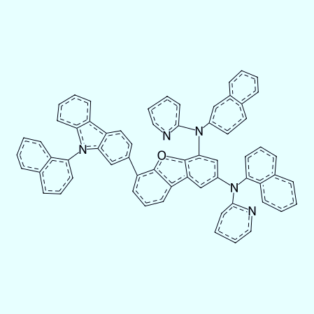 c1ccc(N(c2cc(N(c3ccc4ccccc4c3)c3ccccn3)c3oc4c(-c5ccc6c7ccccc7n(-c7cccc8ccccc78)c6c5)cccc4c3c2)c2cccc3ccccc23)nc1